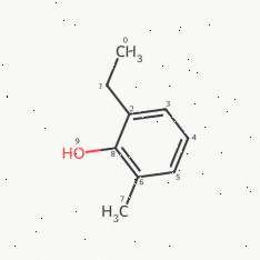 CCc1cccc(C)c1O